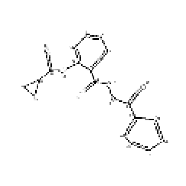 O=C(OOC(=O)c1ccccc1OC(=O)C1CC1)c1ccccc1